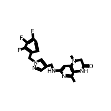 Cc1nc(NCc2cnn(Cc3ccc(F)c(F)c3F)c2)cc2c1NC(=O)CN2C